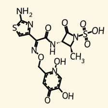 C[C@H]1[C@H](NC(=O)/C(=N\OCc2cc(=O)c(O)cn2O)c2csc(N)n2)C(=O)N1S(=O)(=O)O